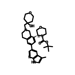 Cc1c[nH]c2ncc(-c3cc4c(c([C@@H]5COCCN5C(=O)OC(C)(C)C)c3)CN(CC3(O)CCOCC3)CC4)cc12